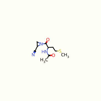 CSCCC(NC(C)=O)C(=O)N1CC1C#N